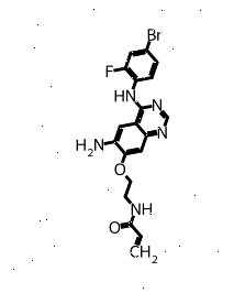 C=CC(=O)NCCOc1cc2ncnc(Nc3ccc(Br)cc3F)c2cc1N